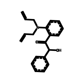 C=CCN(CC=C)c1ccccc1C(=O)C(O)c1ccccc1